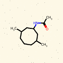 CC(=O)NC1CC(C)CCCC(C)C1